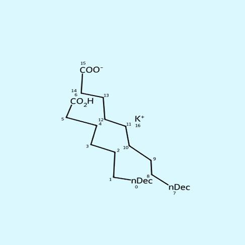 CCCCCCCCCCCCCCCC(=O)O.CCCCCCCCCCCCCCCCCC(=O)[O-].[K+]